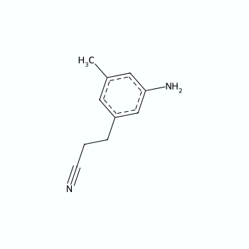 Cc1cc(N)cc(CCC#N)c1